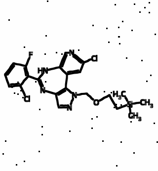 C[Si](C)(C)CCOCn1ncc2c1-c1cc(Cl)ncc1NC(c1c(F)cccc1Cl)=N2